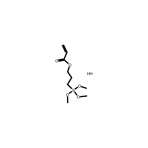 C=CC(=O)OCCC[Si](OC)(OC)OC.[HH]